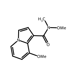 COc1cccn2ccc(C(=O)N(C)OC)c12